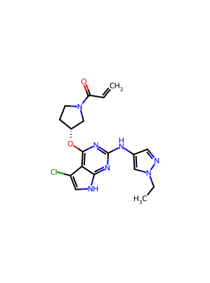 C=CC(=O)N1CC[C@@H](Oc2nc(Nc3cnn(CC)c3)nc3[nH]cc(Cl)c23)C1